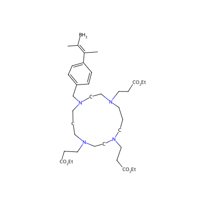 B/C(C)=C(\C)c1ccc(CN2CCCN(CCC(=O)OCC)CCN(CCC(=O)OCC)CCCN(CCC(=O)OCC)CC2)cc1